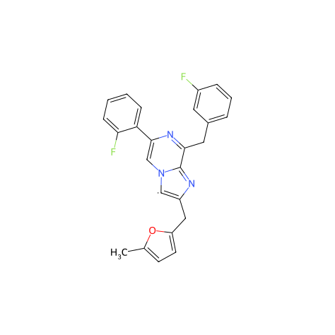 Cc1ccc(Cc2[c]n3cc(-c4ccccc4F)nc(Cc4cccc(F)c4)c3n2)o1